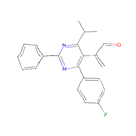 C=C(C=O)c1c(-c2ccc(F)cc2)nc(-c2ccccc2)nc1C(C)C